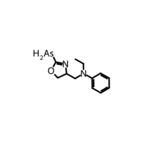 CCN(CC1COC([AsH2])=N1)c1ccccc1